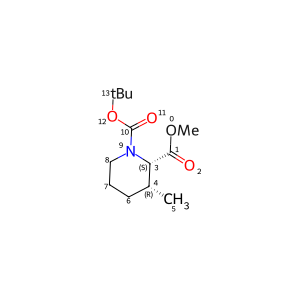 COC(=O)[C@@H]1[C@H](C)CCCN1C(=O)OC(C)(C)C